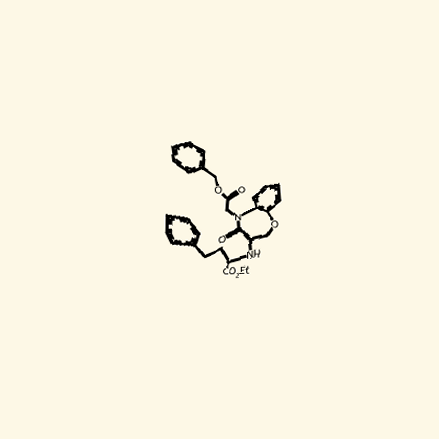 CCOC(=O)[C@H](CCc1ccccc1)NC1COc2ccccc2N(CC(=O)OCc2ccccc2)C1=O